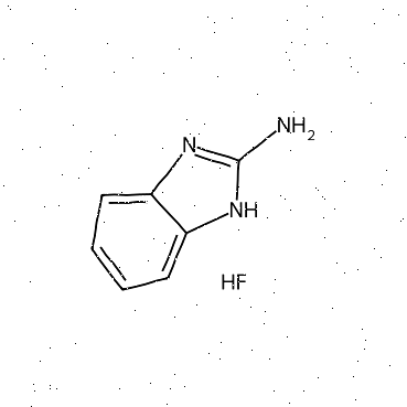 F.Nc1nc2ccccc2[nH]1